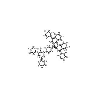 c1ccc(C2=NC(c3ccc(-n4c5cc(-c6ccccc6)c6ccccc6c5c5c6ccccc6c(-c6ccccc6)cc54)cc3)NC(c3ccccc3)=N2)cc1